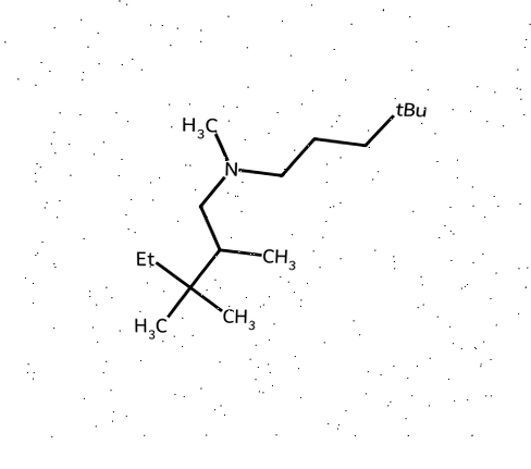 CCC(C)(C)C(C)CN(C)CCCC(C)(C)C